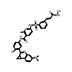 Cc1nc(NS(=O)(=O)c2cccc(/C=C/C(=O)NO)c2)ccc1C(=O)Nc1ccc(Cl)c(C2=Nc3cc(N(C)C)ccc3C3CC23)c1